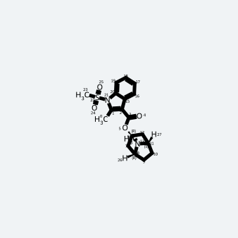 Cc1c(C(=O)O[C@H]2C[C@H]3CC[C@@H](C2)N3C)c2ccccc2n1S(C)(=O)=O